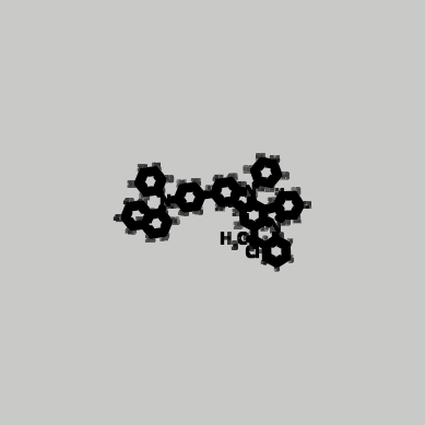 CC1(C)c2ccccc2-n2c3ccccc3c3c2c1cc1c2cc(-c4ccc(N(c5ccccc5)c5cccc6ccccc56)cc4)ccc2n(-c2ccccc2)c13